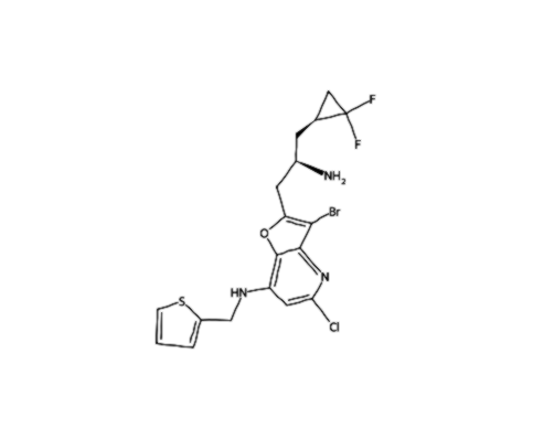 N[C@@H](Cc1oc2c(NCc3cccs3)cc(Cl)nc2c1Br)C[C@H]1CC1(F)F